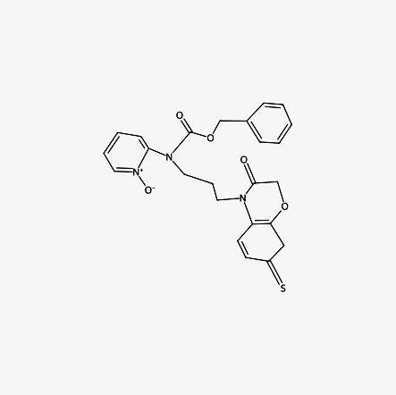 O=C1COC2=C(C=CC(=S)C2)N1CCCN(C(=O)OCc1ccccc1)c1cccc[n+]1[O-]